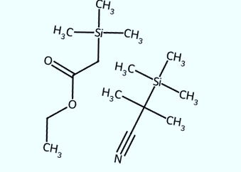 CC(C)(C#N)[Si](C)(C)C.CCOC(=O)C[Si](C)(C)C